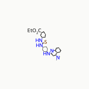 CCOC(=O)c1cccc(NC(=S)N[C@H]2CC[C@@H](Nc3cc(N(C)C)c4ccccc4n3)CC2)c1